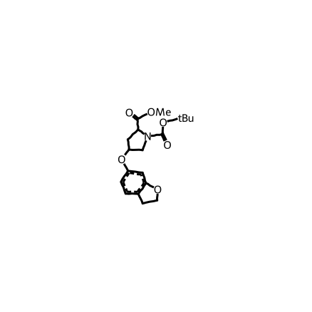 COC(=O)C1CC(Oc2ccc3c(c2)OCC3)CN1C(=O)OC(C)(C)C